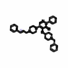 O=c1c(OC2CCN(Cc3ccccc3)CC2)c(N2CCN(C/C=C/c3ccccc3)CC2)cnn1-c1ccccc1